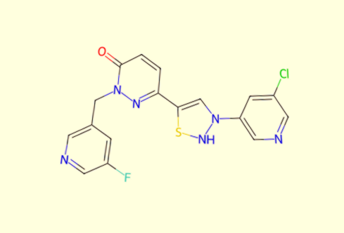 O=c1ccc(C2=CN(c3cncc(Cl)c3)NS2)nn1Cc1cncc(F)c1